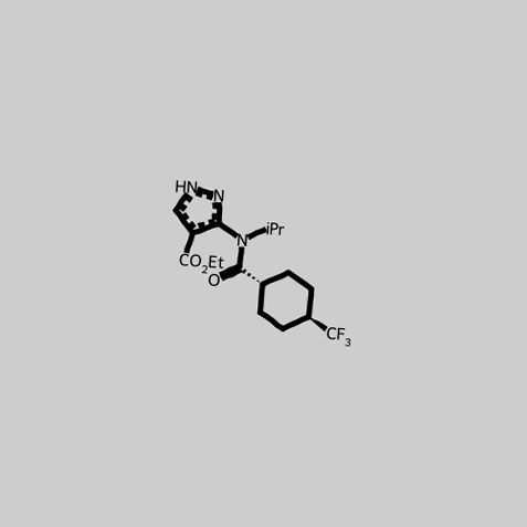 CCOC(=O)c1c[nH]nc1N(C(=O)[C@H]1CC[C@H](C(F)(F)F)CC1)C(C)C